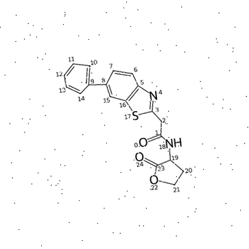 O=C(Cc1nc2ccc(-c3ccccc3)cc2s1)NC1CCOC1=O